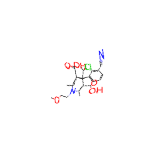 COCCN1C(C)=C(C(=O)O)C(c2cccc(C#N)c2Cl)(C(C)C)C(C(=O)O)=C1C